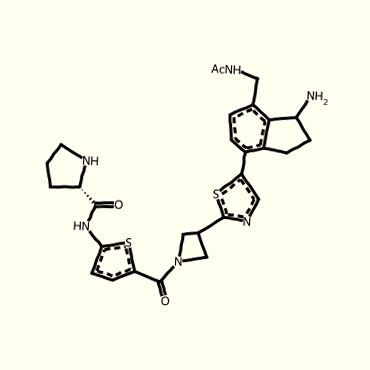 CC(=O)NCc1ccc(-c2cnc(C3CN(C(=O)c4ccc(NC(=O)[C@@H]5CCCN5)s4)C3)s2)c2c1C(N)CC2